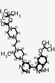 CC(C)Oc1ccc2[nH]nc(-c3cc(N4CCN(CCN5CCN(C(=O)OC(C)(C)C)CC5)[C@@H](C)C4)ncn3)c2c1